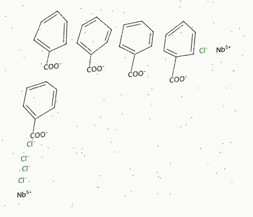 O=C([O-])c1ccccc1.O=C([O-])c1ccccc1.O=C([O-])c1ccccc1.O=C([O-])c1ccccc1.O=C([O-])c1ccccc1.[Cl-].[Cl-].[Cl-].[Cl-].[Cl-].[Nb+5].[Nb+5]